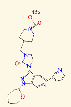 CC(C)(C)OC(=O)N1CCC(CN2CCN(c3nn(C4CCCCO4)c4cnc(-c5cccnc5)cc34)C2=O)CC1